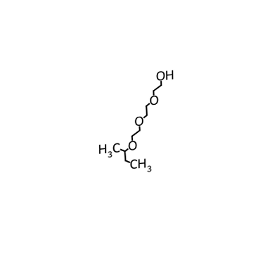 CCC(C)OCCOCCOCCO